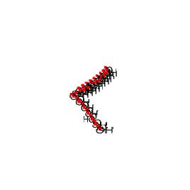 CC(=O)O.CC(=O)O.CCCC(=O)O.CCCC(=O)O.CCCC(=O)O.CCCC(=O)O.CCCC(=O)O.CCCC(=O)O.CCCC(=O)O.CCCC(=O)O.CCCC(=O)O.CCCC(=O)O.CCCC(=O)O.CCCC(=O)O.CCCC(=O)O.CCCC(=O)O.CCCC(=O)O